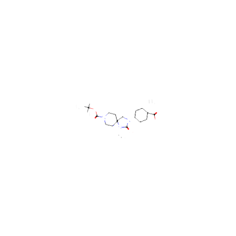 CC(C)(C)OC(=O)N1CCC2(CC1)CN([C@H]1CC[C@](C)(C(=O)[O-])CC1)C(=O)N2.[Na+]